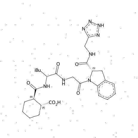 CCC(C)C(NC(=O)[C@@H]1CCCC[C@H]1C(=O)O)C(=O)NCC(=O)N1c2ccccc2C[C@H]1C(=O)NCc1nn[nH]n1